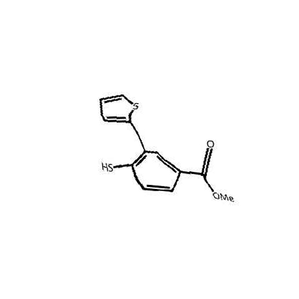 COC(=O)c1ccc(S)c(-c2cccs2)c1